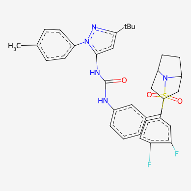 Cc1ccc(-n2nc(C(C)(C)C)cc2NC(=O)Nc2cccc(CC3CC4CCC(C3)N4S(=O)(=O)c3ccc(F)c(F)c3)c2)cc1